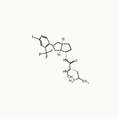 CN[C@@H](CC(C)C)C(=O)N[C@H]1CC[C@@H]2CN(c3ccc(F)cc3C(F)(F)F)C[C@@H]21